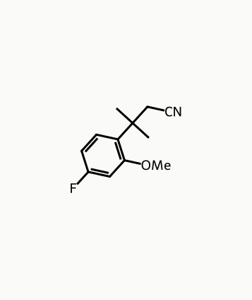 COc1cc(F)ccc1C(C)(C)CC#N